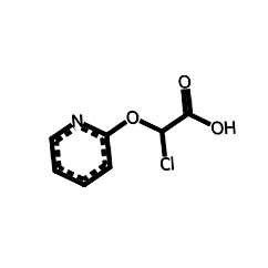 O=C(O)C(Cl)Oc1ccccn1